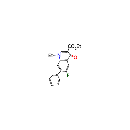 CCOC(=O)c1cn(CC)c2cc(-c3ccccc3)c(F)cc2c1=O